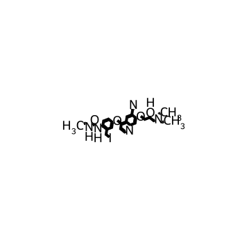 CCNC(=O)Nc1ccc(Oc2ccnc3cc(OC[C@H](O)CN(CC)CC)c(C#N)cc23)cc1CI